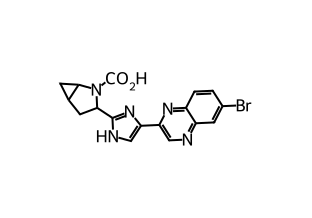 O=C(O)N1C(c2nc(-c3cnc4cc(Br)ccc4n3)c[nH]2)CC2CC21